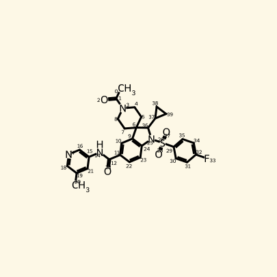 CC(=O)N1CCC2(CC1)c1cc(C(=O)Nc3cncc(C)c3)ccc1N(S(=O)(=O)c1ccc(F)cc1)C2C1CC1